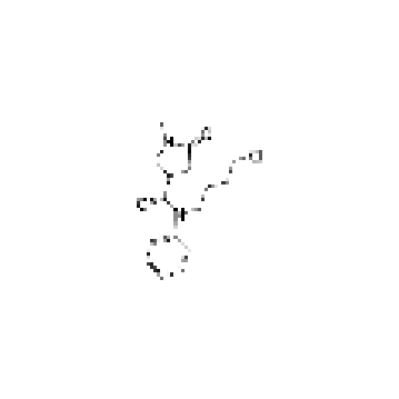 CN1CC(C(=O)N(CCCCCl)c2ccccc2)CC1=O